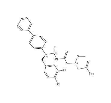 CO[C@H](CC(=O)O)CC(=O)N[C@@H](C)[C@@H](Cc1ccc(Cl)c(Cl)c1)c1ccc(-c2ccccc2)cc1